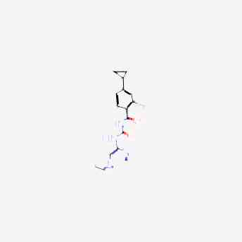 C=N/C(=C\N=C/C)NC(=O)NC(=O)c1ccc(C2CC2)cc1F